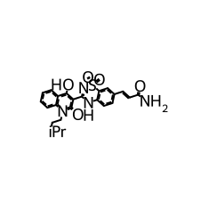 CC(C)CCn1c(=O)c(C2=NS(=O)(=O)c3cc(/C=C/C(N)=O)ccc3N2)c(O)c2ccccc21